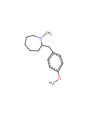 COc1ccc(CC2CCCCCN2C)cc1